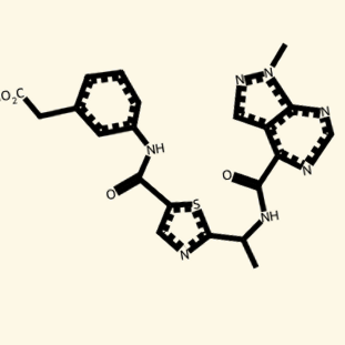 CC(NC(=O)c1ncnc2c1cnn2C)c1ncc(C(=O)Nc2cccc(CC(=O)O)c2)s1